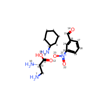 NC1CCCCC1.NC[C@H](N)C(=O)O.O=Cc1cccc([N+](=O)[O-])c1